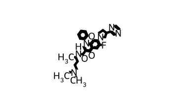 CCN(CC)CCCC(C)NC(=O)c1cn2c3c(c(N4CCC(c5cnccn5)C4)c(F)cc3c1=O)Oc1ccccc1-2